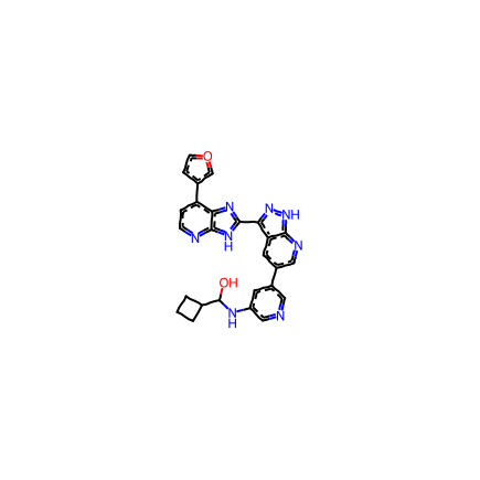 OC(Nc1cncc(-c2cnc3[nH]nc(-c4nc5c(-c6ccoc6)ccnc5[nH]4)c3c2)c1)C1CCC1